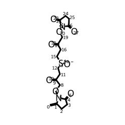 C=C1CCC(=O)N1OCC(=O)CC[S+]([O-])CCC(=O)CON1C(=O)CCC1=O